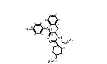 CCO[C@H]1CC[C@@](CSC(C)=O)(C(=O)N[C@@H](Cc2ccccc2)C(=O)Nc2ccc(F)cc2)CC1